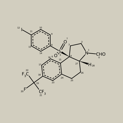 O=CN1CC[C@@]2(S(=O)(=O)c3ccc(I)cc3)c3ccc(C(F)(C(F)(F)F)C(F)(F)F)cc3CC[C@@H]12